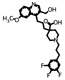 COc1ccc2ncc(CO)c(CCCC3(C(=O)O)CCN(CCCc4cc(F)c(F)c(F)c4)CC3)c2c1